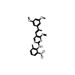 C=Nc1nc(Nc2c(C)cccc2[N+](=O)[O-])ncc1/C=C(\C)c1cc(OC)cc(OC)c1